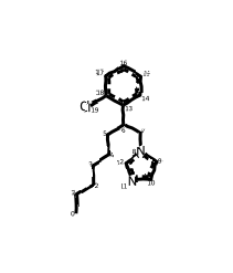 CCCCCCC(Cn1ccnc1)c1ccccc1Cl